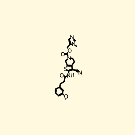 COc1cccc(CCC(=O)Nc2sc3c(c2C#N)CCN(C(=O)OCc2cncn2C)C3)c1